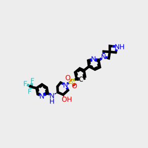 O=S(=O)(c1ccc(-c2ccc(N3CC4(CNC4)C3)nc2)cc1)N1CC[C@@H](Nc2ccc(C(F)(F)F)cn2)[C@@H](O)C1